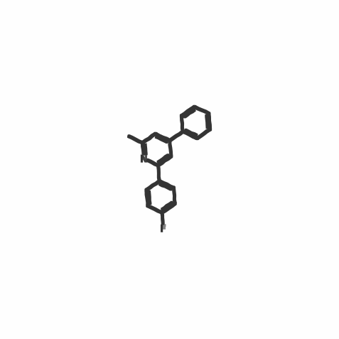 Cc1cc(-c2ccccc2)cc(-c2ccc(F)cc2)n1